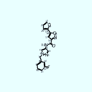 O=C(Nc1cnn(Cc2cccc(F)c2)c1)c1cc(-c2ccco2)on1